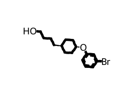 OCCCC[C@H]1CC[C@H](Oc2cccc(Br)c2)CC1